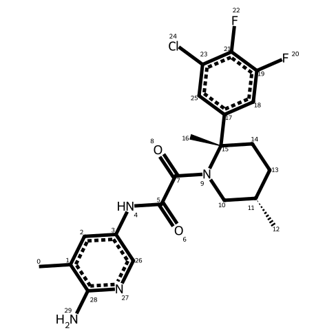 Cc1cc(NC(=O)C(=O)N2C[C@@H](C)CC[C@@]2(C)c2cc(F)c(F)c(Cl)c2)cnc1N